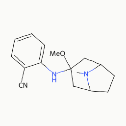 COC1(Nc2ccccc2C#N)CC2CCC(C1)N2C